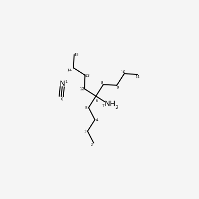 C#N.CCCCC(N)(CCCC)CCCC